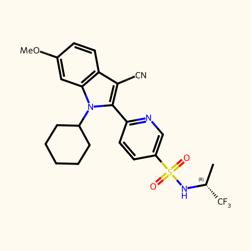 COc1ccc2c(C#N)c(-c3ccc(S(=O)(=O)N[C@H](C)C(F)(F)F)cn3)n(C3CCCCC3)c2c1